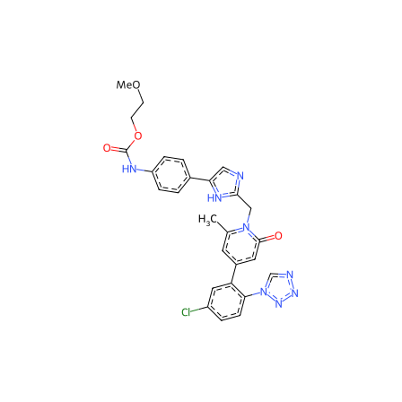 COCCOC(=O)Nc1ccc(-c2cnc(Cn3c(C)cc(-c4cc(Cl)ccc4-n4cnnn4)cc3=O)[nH]2)cc1